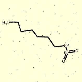 CCCCCCCN[SH](=O)=O